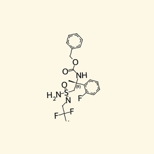 [CH2]C(F)(F)CN=S(N)(=O)C[C@](C)(NC(=O)OCc1ccccc1)c1ccccc1F